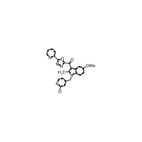 COc1ccc2c(c1)c(C(=O)c1nnc(-c3ccccn3)o1)c(C)n2Cc1ccnc(Cl)c1